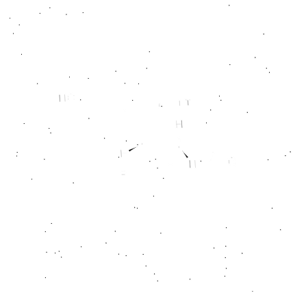 CC(C)[C@H]1Cc2cc(O)ccc2[C@@H]2[C@@H]1[C@@H]1C[C@H](O)C[C@@]1(C)C[C@@H]2F